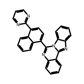 c1cnc(-c2ccc(-c3nc4ccccc4c4nc5ccccc5n34)c3ccccc23)nc1